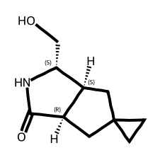 O=C1N[C@H](CO)[C@H]2CC3(CC3)C[C@@H]12